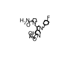 CN(O)C(=O)c1cc2c(CN3CCC[C@@H]3C(N)=O)cn(Cc3ccc(F)cc3)c2cn1